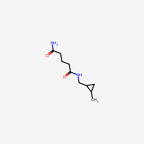 CC1CC1CNC(=O)CCCC(N)=O